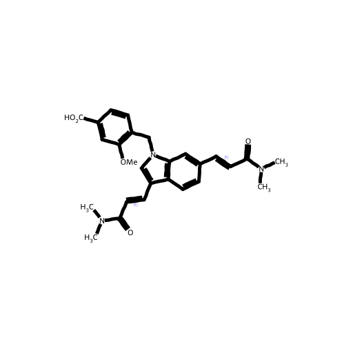 COc1cc(C(=O)O)ccc1Cn1cc(/C=C/C(=O)N(C)C)c2ccc(/C=C/C(=O)N(C)C)cc21